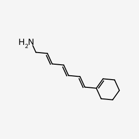 NC/C=C/C=C/C=C/C1=CCCCC1